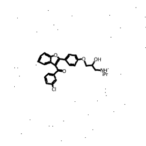 CC(C)NCC(O)COc1ccc(-c2oc3ccccc3c2C(=O)c2cccc(Cl)c2)cc1